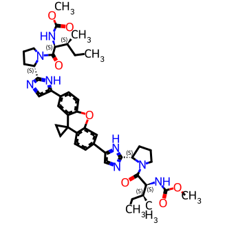 CC[C@H](C)[C@H](NC(=O)OC)C(=O)N1CCC[C@H]1c1ncc(-c2ccc3c(c2)Oc2ccc(-c4cnc([C@@H]5CCCN5C(=O)[C@@H](NC(=O)OC)[C@@H](C)CC)[nH]4)cc2C32CC2)[nH]1